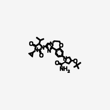 CC(C)C1C(=O)N(C2CC2)C(=O)N1c1cn2c(n1)-c1ccc(N3CC(OC(C)(C)C)C[C@H]3C(N)=O)cc1OCC2